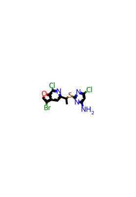 CC(Sc1nc(N)cc(Cl)n1)c1cc2c(Br)coc2c(Cl)n1